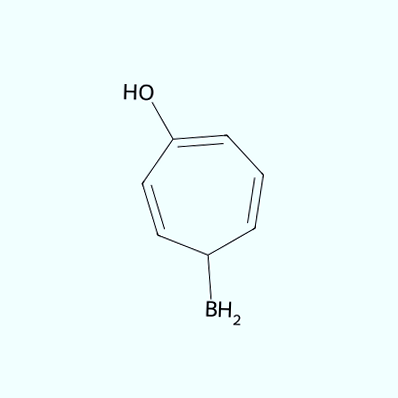 BC1C=CC=C(O)C=C1